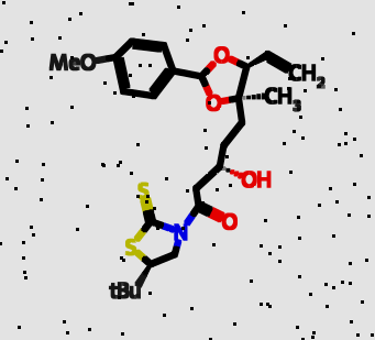 C=C[C@@H]1OC(c2ccc(OC)cc2)O[C@]1(C)CC[C@H](O)CC(=O)N1C[C@@H](C(C)(C)C)SC1=S